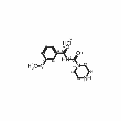 COc1cccc(C(=O)NC(=O)N2CCNCC2)c1.Cl